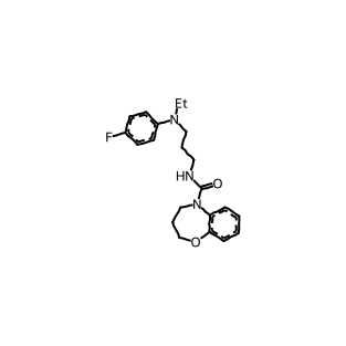 CCN(CCCNC(=O)N1CCCOc2ccccc21)c1ccc(F)cc1